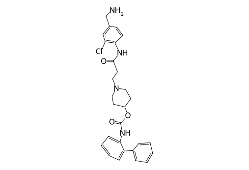 NCc1ccc(NC(=O)CCN2CCC(OC(=O)Nc3ccccc3-c3ccccc3)CC2)c(Cl)c1